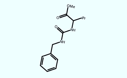 COC(=O)C(NC(=O)NCc1ccccc1)C(C)C